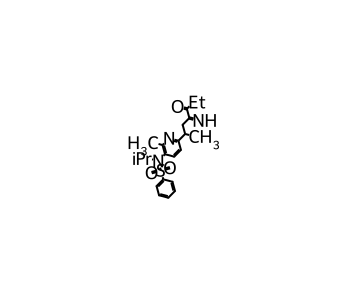 CCC(=O)C(=N)CC(C)c1ccc(N(C(C)C)S(=O)(=O)c2ccccc2)c(C)n1